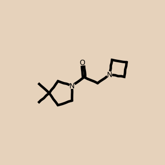 CC1(C)CCN(C(=O)CN2CCC2)C1